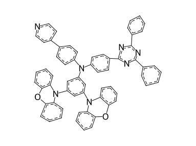 c1ccc(-c2nc(-c3ccccc3)nc(-c3ccc(N(c4ccc(-c5ccncc5)cc4)c4cc(N5c6ccccc6Oc6ccccc65)cc(N5c6ccccc6Oc6ccccc65)c4)cc3)n2)cc1